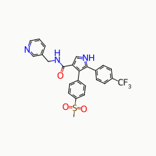 CS(=O)(=O)c1ccc(-c2c(C(=O)NCc3cccnc3)c[nH]c2-c2ccc(C(F)(F)F)cc2)cc1